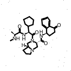 CN[C@@H](C)C(=O)N[C@H](C(=O)N1C[C@H]2CCCN2C[C@H]1C(=O)N[C@@H]1CCC(=O)c2ccccc21)C1CCCCC1